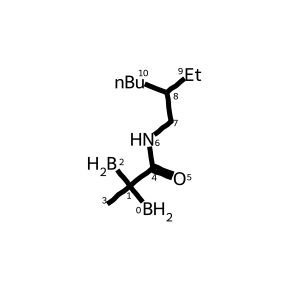 BC(B)(C)C(=O)NCC(CC)CCCC